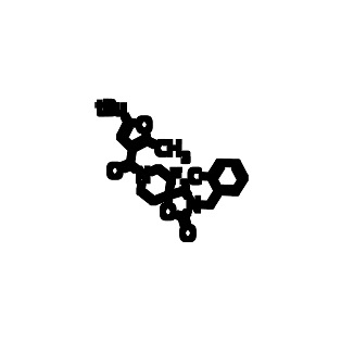 Cc1oc(C(C)(C)C)cc1C(=O)N1CCC2(CC1)CN(Cc1ccccc1C(F)(F)F)C(=O)O2